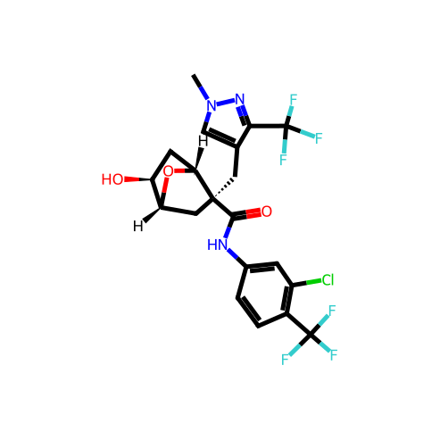 Cn1cc(C[C@]2(C(=O)Nc3ccc(C(F)(F)F)c(Cl)c3)C[C@H]3O[C@@H]2C[C@@H]3O)c(C(F)(F)F)n1